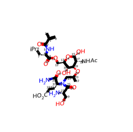 C=C(C)C(=O)N[C@@H](CC(C)C)C(=O)OC[C@H]1O[C@H](O)[C@H](NC(C)=O)[C@@H](OC(C)CN(C(=O)[C@@H](N)CO)[C@H](CCC(=O)O)C(N)=O)[C@@H]1O